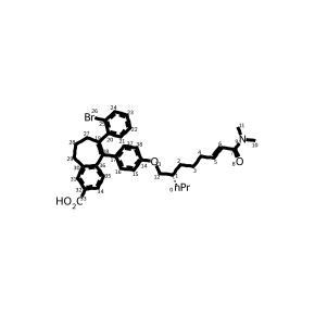 CCC[C@@H](CCC/C=C/C(=O)N(C)C)COc1ccc(C2=C(c3ccccc3Br)CCCc3cc(C(=O)O)ccc32)cc1